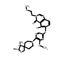 COCCn1cnc2ccc(Sc3cnc(N4CCC5(CC4)CO[C@@H](I)[C@H]5N)c(OC)n3)c(Cl)c2c1=O